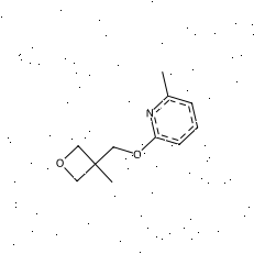 Cc1cccc(OCC2(C)COC2)n1